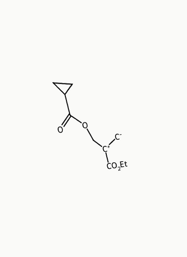 [CH2-][C+](COC(=O)C1CC1)C(=O)OCC